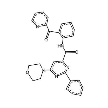 O=C(Nc1ccccc1C(=O)c1ccccn1)c1cc(N2CCOCC2)nc(-c2ccccc2)n1